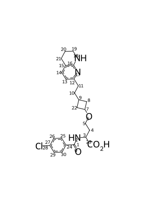 O=C(NC(CCOC1CC(CCc2ccc3c(n2)NCCC3)C1)C(=O)O)c1ccc(Cl)cc1